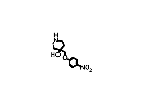 O=[N+]([O-])c1ccc(OCC2(O)CCNCC2)cc1